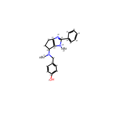 CCCCN(Cc1ccc(O)cc1)C1CCc2nc(-c3ccccc3)n(CCCC)c21